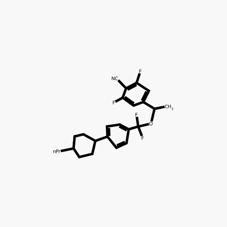 CCCC1CCC(c2ccc(C(F)(F)OC(C)c3cc(F)c(C#N)c(F)c3)cc2)CC1